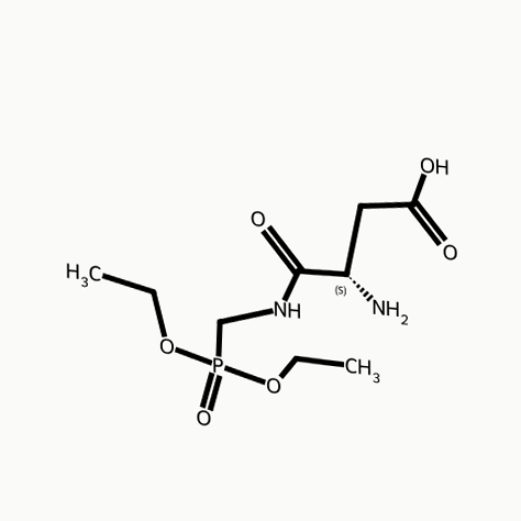 CCOP(=O)(CNC(=O)[C@@H](N)CC(=O)O)OCC